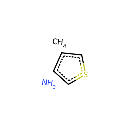 C.N.c1ccsc1